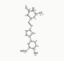 O=C(O)c1cc(-c2ccc(/C=C/c3cc(C(F)(F)F)[nH]c(=O)n3)o2)ccc1O